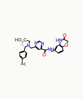 CC(=O)c1ccc([C@H](C)N(CC(=O)O)Cc2cc(C(=O)NCc3ccc4c(c3)NC(=O)CO4)ncn2)cc1